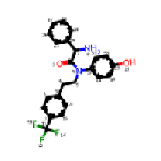 NC(C(=O)N(CCc1ccc(C(F)(F)F)cc1)c1ccc(O)cc1)c1ccccc1